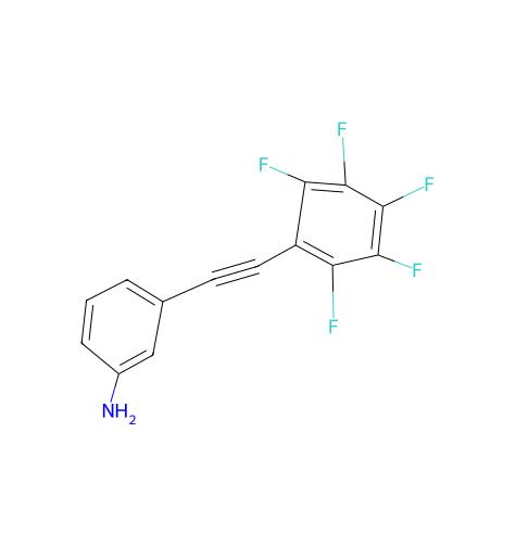 Nc1cccc(C#Cc2c(F)c(F)c(F)c(F)c2F)c1